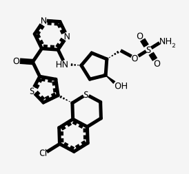 NS(=O)(=O)OC[C@H]1C[C@@H](Nc2ncncc2C(=O)c2cc([C@@H]3SCCc4ccc(Cl)cc43)cs2)C[C@@H]1O